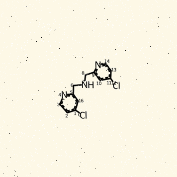 Clc1ccnc(CNCc2cc(Cl)ccn2)c1